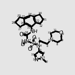 Cn1cc(N(CCN2CCOCC2)S(=O)(=O)[NH+]([O-])C(=O)Nc2c3c(cc4c2CCC4)CCC3)cn1